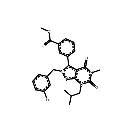 COC(=O)c1cccc(-c2c3c(=O)n(C)c(=O)n(CC(C)C)c3nn2Cc2cccc(Br)c2)c1